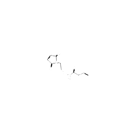 C=CCC(=O)[NH][Ag][CH2]CN1C(=O)C=CC1=O